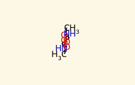 CCCCNC(=O)c1cccc(S(=O)(=O)c2cccc(C(=O)NCCCC)c2)c1